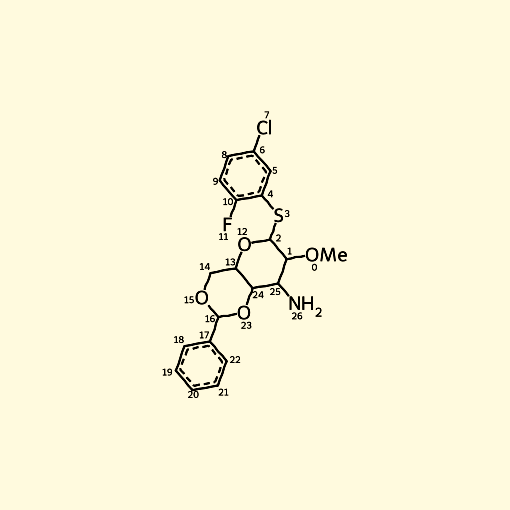 COC1C(Sc2cc(Cl)ccc2F)OC2COC(c3ccccc3)OC2C1N